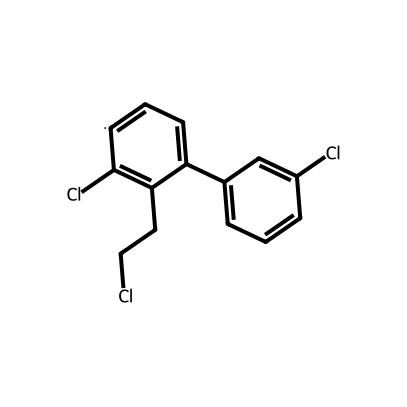 ClCCc1c(Cl)[c]ccc1-c1cccc(Cl)c1